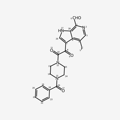 O=Cc1ncc(F)c2c(C(=O)C(=O)N3CCN(C(=O)c4ccccc4)CC3)c[nH]c12